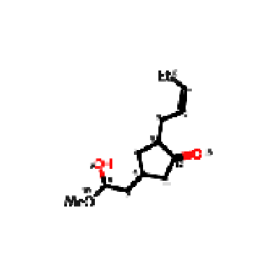 CC/C=C\CC1CC(CC(O)OC)CC1=O